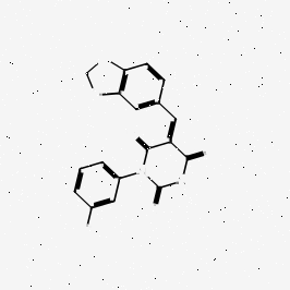 O=C1NC(=S)N(c2cccc(Cl)c2)C(=O)C1=Cc1ccc2c(c1)OCO2